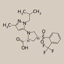 Cc1cc(N2C[C@H](S(=O)(=O)c3ccccc3C(F)(F)F)C[C@@H]2C(=O)O)n(CC(C)C)n1